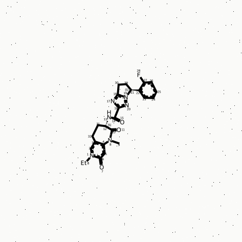 CCn1cc2c(cc1=O)N(C)C(=O)[C@@H](NC(=O)c1nc3n(n1)[C@H](c1ccccc1F)CC3)CC2